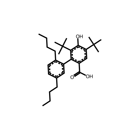 CCCCc1ccc(CCCC)c(-c2c(C(=O)O)cc(C(C)(C)C)c(O)c2C(C)(C)C)c1